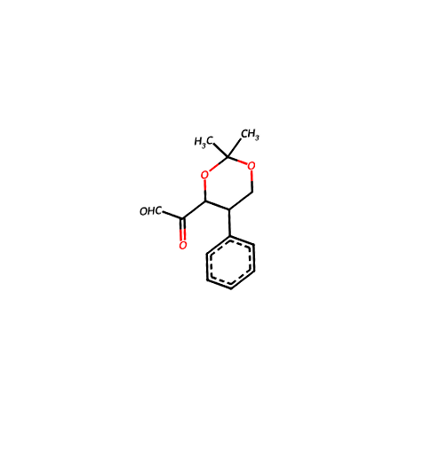 CC1(C)OCC(c2ccccc2)C(C(=O)C=O)O1